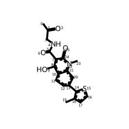 CC(=O)CNC(=O)c1c(O)c2ccc(-c3sccc3C)cc2n(C)c1=O